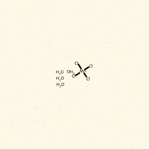 O.O.O.O.[Cl][Mn]([Cl])([Cl])[Cl]